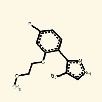 COCCOc1cc(F)ccc1-c1n[nH]cc1Br